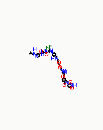 O=C1CCC(N2Cc3cc(OCc4cn(CCOCCOCCNCc5ccc(-n6cc(NC(=O)c7coc(-c8ccnc(NCC9CC9)c8)n7)c(C(F)F)n6)cc5)nn4)ccc3C2=O)C(=O)N1